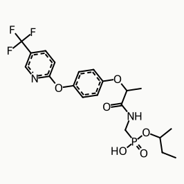 CCC(C)OP(=O)(O)CNC(=O)C(C)Oc1ccc(Oc2ccc(C(F)(F)F)cn2)cc1